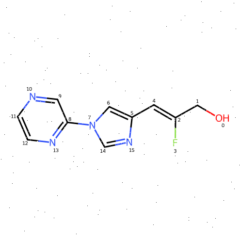 OC/C(F)=C/c1cn(-c2cnccn2)cn1